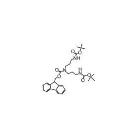 CC(C)(C)OC(=O)NCCCN(CCCNC(=O)OC(C)(C)C)C(=O)OCC1c2ccccc2-c2ccccc21